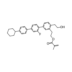 C=C(C)C(=O)OCCc1cc(-c2ccc(-c3ccc(C4CCCCC4)cc3)cc2F)ccc1CCO